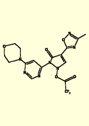 Cc1noc(-c2cn(OC(=O)C(F)(F)F)n(-c3cc(N4CCOCC4)ncn3)c2=O)n1